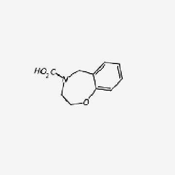 O=C(O)N1CCOc2ccccc2C1